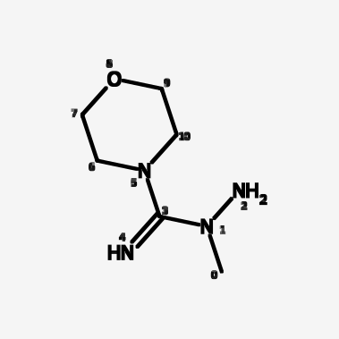 CN(N)C(=N)N1CCOCC1